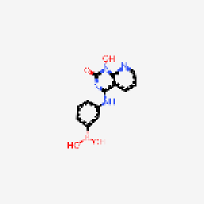 O=c1nc(Nc2cccc(B(O)O)c2)c2cccnc2n1O